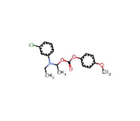 CCN(c1cccc(Cl)c1)C(C)OC(=O)Oc1ccc(OC)cc1